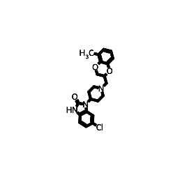 Cc1cccc2c1OCC(CN1CCC(n3c(=O)[nH]c4ccc(Cl)cc43)CC1)O2